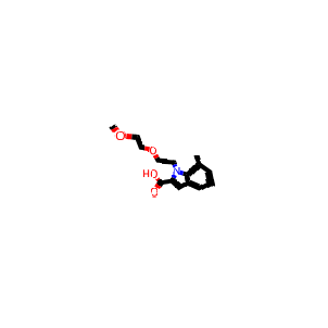 COCCOCCn1c(C(=O)O)cc2cccc(C)c21